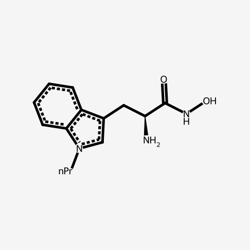 CCCn1cc(C[C@H](N)C(=O)NO)c2ccccc21